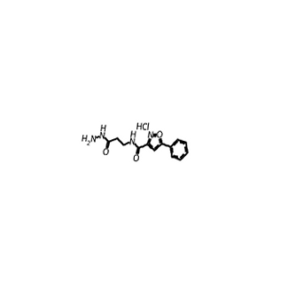 Cl.NNC(=O)CCNC(=O)c1cc(-c2ccccc2)on1